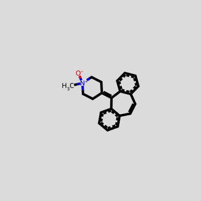 C[N+]1([O-])CCC(=C2c3ccccc3C=Cc3ccccc32)CC1